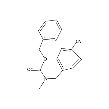 CN(Cc1ccc(C#N)cc1)C(=O)OCc1ccccc1